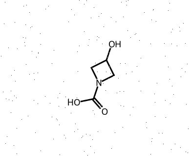 O=C(O)N1CC(O)C1